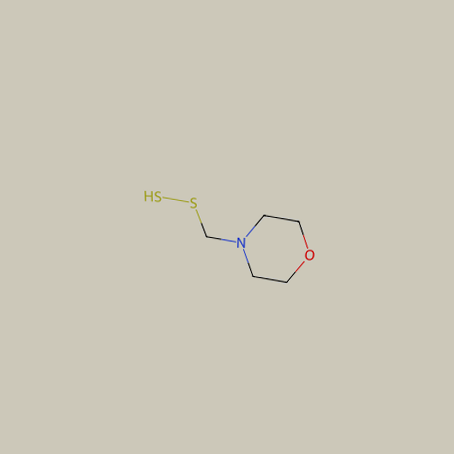 SSCN1CCOCC1